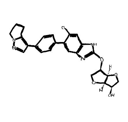 O[C@@H]1CO[C@H]2[C@@H]1OC[C@H]2Oc1nc2cc(-c3ccc(-c4cnn5c4CCC5)cc3)c(Cl)cc2[nH]1